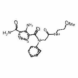 COCCNC(=O)CN(C(=O)c1snc(C(N)=O)c1N)c1ccccc1